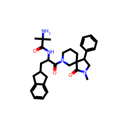 CN1CC(c2ccccc2)C2(CCCN(C(=O)C(CC3Cc4ccccc4C3)NC(=O)C(C)(C)N)C2)C1=O